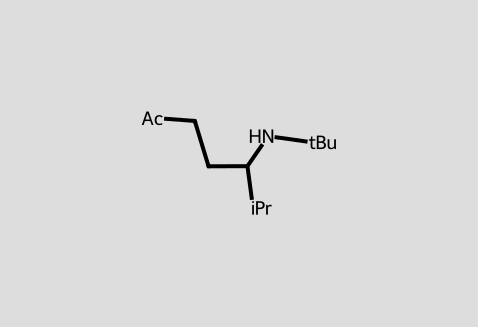 CC(=O)CCC(NC(C)(C)C)C(C)C